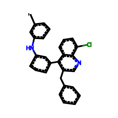 [CH]c1cccc(Nc2cccc(-c3c(Cc4ccccc4)cnc4c(Cl)cccc34)c2)c1